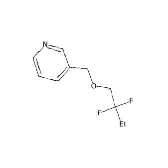 CCC(F)(F)COCc1cccnc1